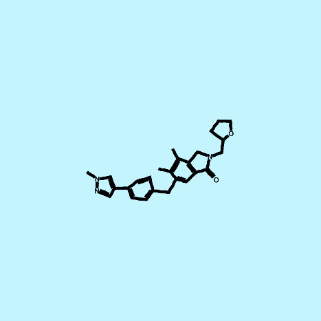 Cc1c(Cc2ccc(-c3cnn(C)c3)cc2)cc2c(c1C)CN(CC1CCCO1)C2=O